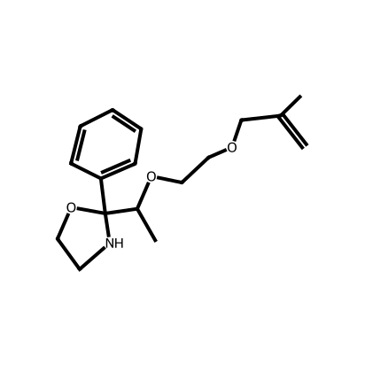 C=C(C)COCCOC(C)C1(c2ccccc2)NCCO1